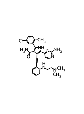 Cc1ccc(Cl)cc1-c1[nH]c(-c2ccnc(N)n2)c(C#Cc2ccccc2NCCN(C)C)c1C(N)=O